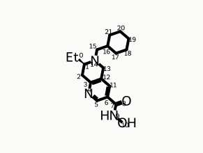 CC[C@@H]1Cc2ncc(C(=O)NO)cc2CN1CC1CCCCC1